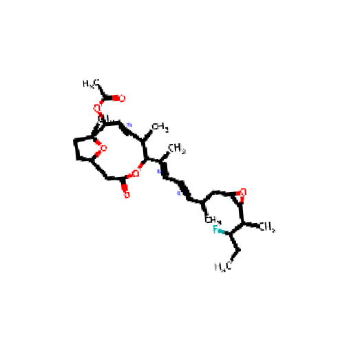 CCC(F)C(C)C1OC1CC(C)/C=C/C=C(\C)C1OC(=O)CC2CCC(C)(O2)C(OC(C)=O)/C=C/C1C